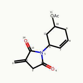 C=C1CC(=O)N(C2C=CCC(OC(C)=O)C2)C1=O